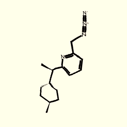 C[C@@H](c1cccc(CN=[N+]=[N-])n1)[C@H]1CC[C@H](C)CC1